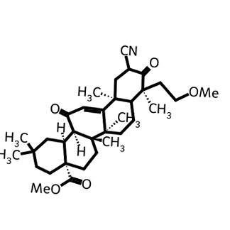 COCC[C@]1(C)C(=O)C(C#N)C[C@]2(C)C3=CC(=O)[C@@H]4[C@@H]5CC(C)(C)CC[C@]5(C(=O)OC)CC[C@@]4(C)[C@]3(C)CCC12